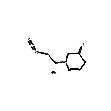 Br.O=C1CC=CN(CCN=C=S)C1